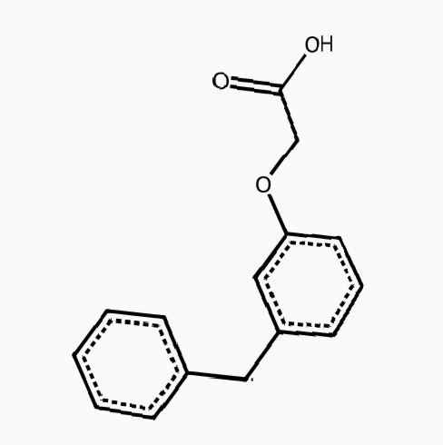 O=C(O)COc1cccc([CH]c2ccccc2)c1